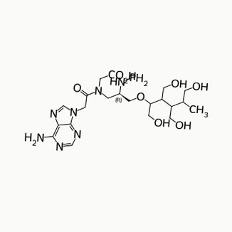 CC(CO)C(CO)C(CO)C(CO)OC[C@@H](CN(CC(=O)O)C(=O)Cn1cnc2c(N)ncnc21)NP